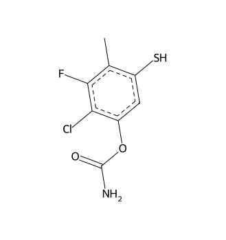 Cc1c(S)cc(OC(N)=O)c(Cl)c1F